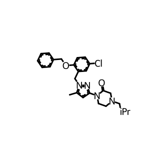 Cc1cc(N2CCN(CC(C)C)CC2=O)nn1Cc1cc(Cl)ccc1OCc1ccccc1